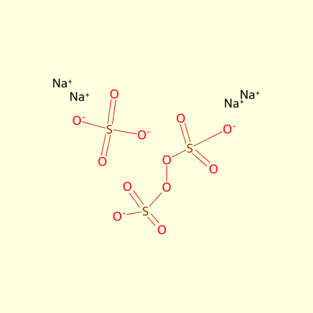 O=S(=O)([O-])OOS(=O)(=O)[O-].O=S(=O)([O-])[O-].[Na+].[Na+].[Na+].[Na+]